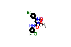 CN1C(C(=O)Nc2ccc(F)c(Cl)c2)CC(c2ccc(Br)cc2)NS1(=O)=O